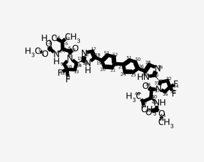 COC(=O)N[C@H](C(=O)N1CC(F)(F)C[C@H]1c1ncc(-c2ccc(-c3ccc(-c4cnc([C@@H]5CC(F)(F)CN5C(=O)[C@@H](NC(=O)OC)C(C)C)[nH]4)cc3)cc2)[nH]1)C(C)C